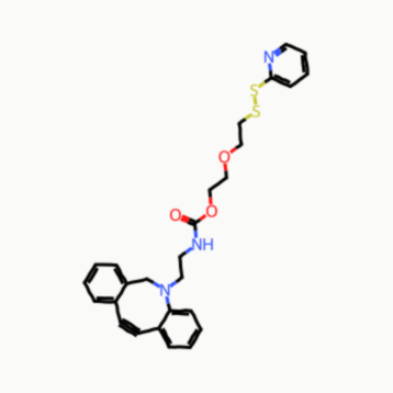 O=C(NCCN1Cc2ccccc2C#Cc2ccccc21)OCCOCCSSc1ccccn1